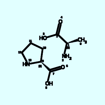 C[C@H](N)C(=O)O.O=C(O)[C@H]1CCCN1